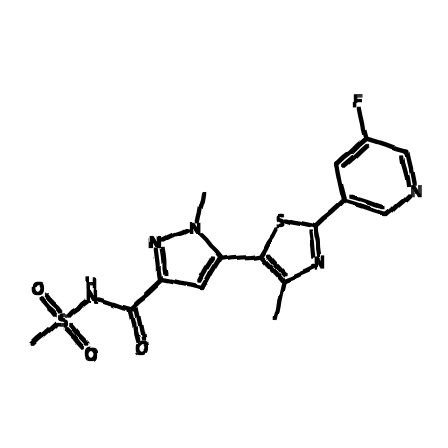 Cc1nc(-c2cncc(F)c2)sc1-c1cc(C(=O)NS(C)(=O)=O)nn1C